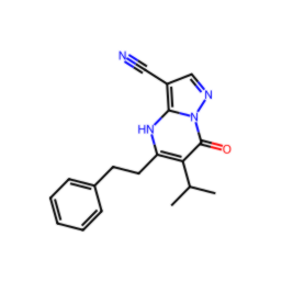 CC(C)c1c(CCc2ccccc2)[nH]c2c(C#N)cnn2c1=O